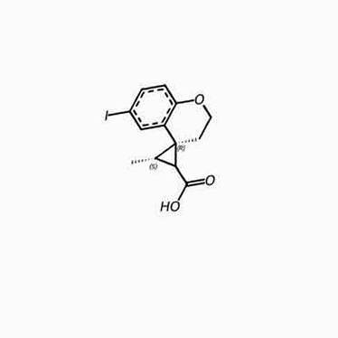 C[C@H]1C(C(=O)O)[C@@]12CCOc1ccc(I)cc12